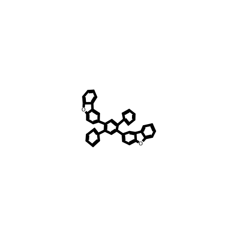 c1ccc(-c2cc(-c3ccc4oc5ccccc5c4c3)c(-c3ccccc3)cc2-c2ccc3oc4ccccc4c3c2)cc1